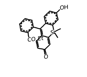 CCOC(=O)c1ccccc1C1=C2C=CC(=O)C=C2[Si](C)(C)c2cc(O)ccc21